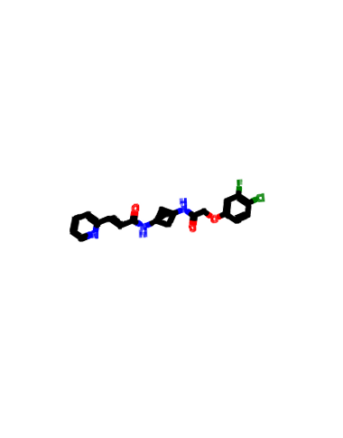 O=C(/C=C/c1ccccn1)NC12CC(NC(=O)COc3ccc(Cl)c(F)c3)(C1)C2